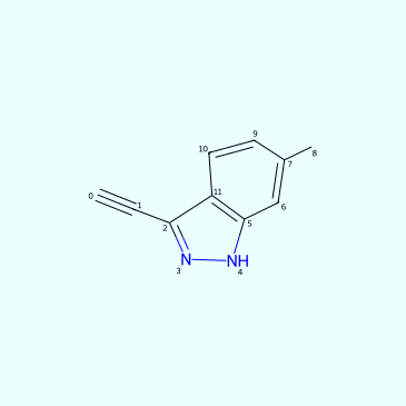 C#Cc1n[nH]c2cc(C)ccc12